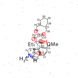 CCC1(C[C@]23CCN(C)[C@H](Cc4ccc(OC)c(O)c42)C3O)OCC2(CO1)OCC1CCCCC1CO2